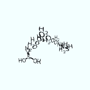 O.O.O.O.O.O.O.O=S(O)O.S.[NaH].[NaH]